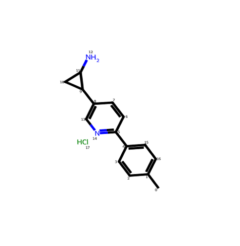 Cc1ccc(-c2ccc(C3CC3N)cn2)cc1.Cl